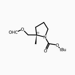 CC(C)(C)OC(=O)N1CCC[C@@]1(C)COC=O